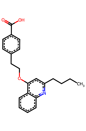 CCCCc1cc(OCCc2ccc(C(=O)O)cc2)c2ccccc2n1